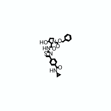 O=C(NC1CC1)c1ccc(-c2csc(NC(=O)C3C(O)CCN3C(=O)OCc3ccccc3)n2)cc1